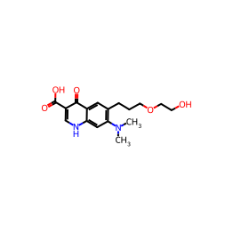 CN(C)c1cc2[nH]cc(C(=O)O)c(=O)c2cc1CCCOCCO